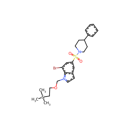 C[Si](C)(C)CCOCn1ccc2cc(S(=O)(=O)N3CCC(c4ccccc4)CC3)cc(Br)c21